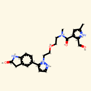 Cc1cc(C(=O)N(C)CCOCCn2nccc2-c2ccc3c(c2)CC(=O)N3)c(C=O)[nH]1